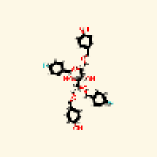 Oc1ccc(COC[C@@H](OCc2ccc(F)cc2)[C@@H](O)[C@H](O)[C@@H](COCc2ccc(O)cc2)OCc2ccc(F)cc2)cc1